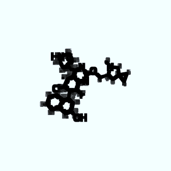 CN1CC2(CC2)C[C@H]1COc1nc(N2CC3CCCC2CN3)c2cc(Cl)c(-c3cc(O)cc4ccccc34)c(F)c2n1